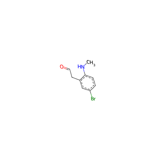 CNc1ccc(Br)cc1CC=O